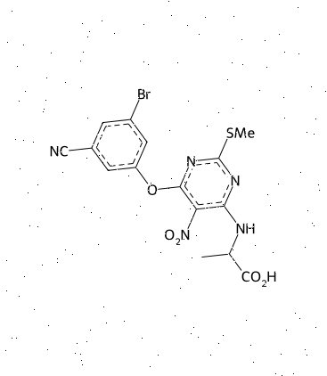 CSc1nc(NC(C)C(=O)O)c([N+](=O)[O-])c(Oc2cc(Br)cc(C#N)c2)n1